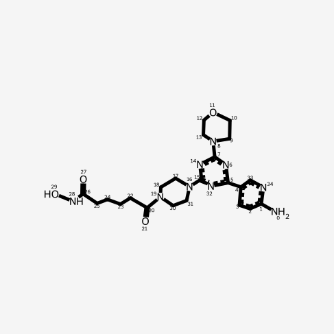 Nc1ccc(-c2nc(N3CCOCC3)nc(N3CCN(C(=O)CCCCC(=O)NO)CC3)n2)cn1